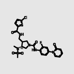 CN([C@H]1CN(C(=O)Nc2ccc(-n3ccccc3=O)cc2F)CC1CNC(=O)c1ccc(Cl)s1)S(C)(=O)=O